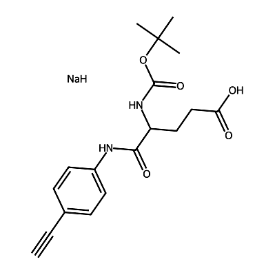 C#Cc1ccc(NC(=O)C(CCC(=O)O)NC(=O)OC(C)(C)C)cc1.[NaH]